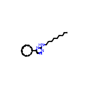 CCCCCCCCCNc1nncc(-c2ccccccccc2)n1